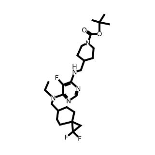 CCN(CC1CCC2(CC1)CC2(F)F)c1ncnc(NCC2CCN(C(=O)OC(C)(C)C)CC2)c1F